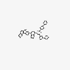 CC1(C)c2cc(-c3ccc(-c4cc(-c5cccc(-c6ccccc6)c5)nc(-c5ccc(-c6ccccc6)cc5)n4)c4ccccc34)ccc2-c2c1ccc1ccccc21